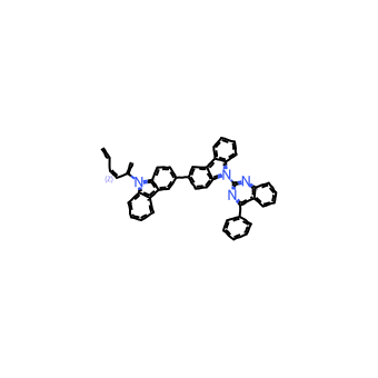 C=C/C=C\C(=C)n1c2ccccc2c2cc(-c3ccc4c(c3)c3ccccc3n4-c3nc(-c4ccccc4)c4ccccc4n3)ccc21